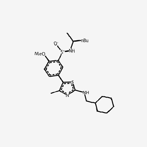 CCCCC(C)N[S+]([O-])c1cc(-c2sc(NCC3CCCCC3)nc2C)ccc1OC